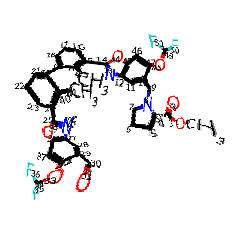 COC(=O)[C@@H]1CCCN1Cc1cc2nc(-c3cccc(-c4cccc(-c5nc6cc(C=O)c(OC(F)F)cc6o5)c4C)c3C)oc2cc1OC(F)F